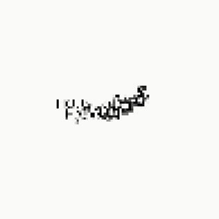 CC(CC(=O)O)CN1CCc2nc(-c3ccc(-c4cccc(Cl)c4)cc3F)ncc2C1